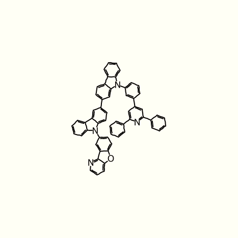 c1ccc(-c2cc(-c3cccc(-n4c5ccccc5c5ccc(-c6ccc7c(c6)c6ccccc6n7-c6ccc7oc8cccnc8c7c6)cc54)c3)cc(-c3ccccc3)n2)cc1